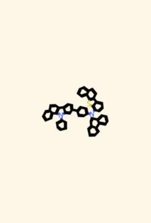 c1ccc(-n2c3cc(-c4ccc(N(c5cc6ccccc6c6ccccc56)c5cccc6c5sc5c7ccccc7ccc65)cc4)ccc3c3ccc4ccccc4c32)cc1